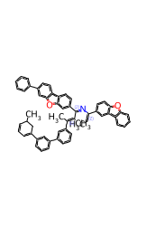 C\C=C(/N=C(\C(C)=C(/C)c1cccc(-c2cccc(C3=CC=CC(C)C3)c2)c1)c1ccc2c(c1)oc1cc(-c3ccccc3)ccc12)c1ccc2oc3ccccc3c2c1